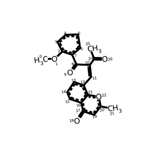 COc1ccccc1C(=O)C(=Cc1cccc2c(=O)cc(C)oc12)C(C)=O